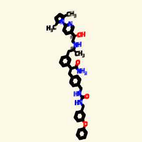 Cc1ccc(C)n1-c1ccc([C@@H](O)CN[C@H](C)Cc2cccc(C(Cc3ccc(CNC(=O)NCc4cccc(Oc5ccccc5)c4)cc3)C(N)=O)c2)cn1